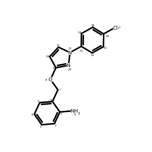 Nc1ccccc1COc1ccn(-c2ccc(Cl)cc2)n1